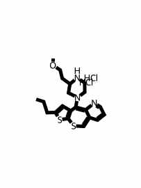 CCCc1cc2c(s1)SC=c1cccnc1=C2N1CCNC(CCOC)C1.Cl.Cl